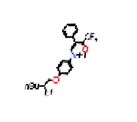 CCCCC(CC)COc1ccc(N(/C=C(\C(=O)C(F)(F)F)c2ccccc2)CC)cc1